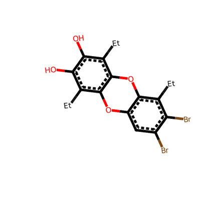 CCc1c(Br)c(Br)cc2c1Oc1c(CC)c(O)c(O)c(CC)c1O2